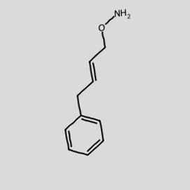 NOC/C=C/Cc1ccccc1